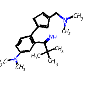 CN(C)CC1=CCC(c2ccc(N(C)C)cc2C(=N)C(C)(C)C)=C1